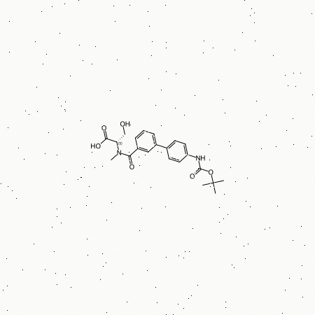 CN(C(=O)c1cccc(-c2ccc(NC(=O)OC(C)(C)C)cc2)c1)[C@@H](CO)C(=O)O